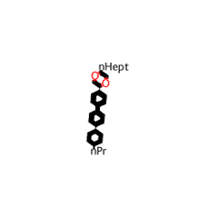 CCCCCCC[C@H]1CO[C@H](c2ccc(-c3ccc([C@H]4CC[C@H](CCC)CC4)cc3)cc2)CO1